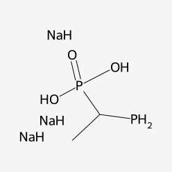 CC(P)P(=O)(O)O.[NaH].[NaH].[NaH]